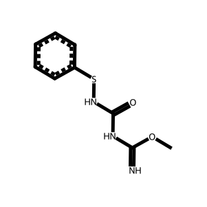 COC(=N)NC(=O)NSc1ccccc1